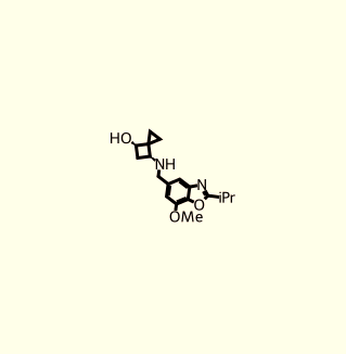 COc1cc(CN[C@H]2C[C@@H](O)C23CC3)cc2nc(C(C)C)oc12